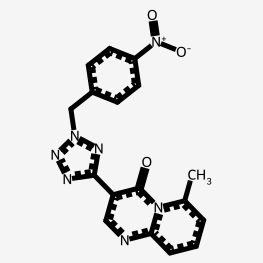 Cc1cccc2ncc(-c3nnn(Cc4ccc([N+](=O)[O-])cc4)n3)c(=O)n12